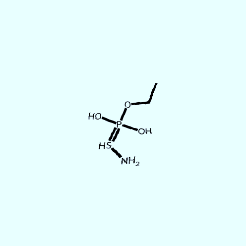 CCOP(O)(O)=[SH]N